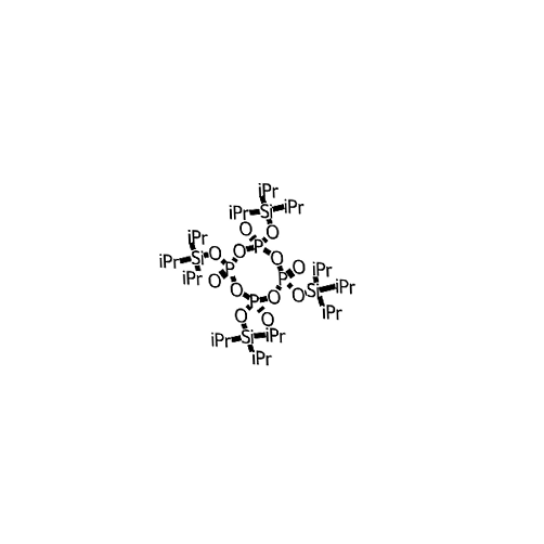 CC(C)[Si](OP1(=O)OP(=O)(O[Si](C(C)C)(C(C)C)C(C)C)OP(=O)(O[Si](C(C)C)(C(C)C)C(C)C)OP(=O)(O[Si](C(C)C)(C(C)C)C(C)C)O1)(C(C)C)C(C)C